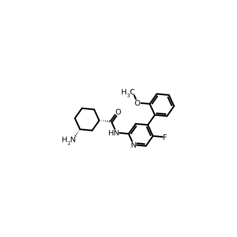 COc1ccccc1-c1cc(NC(=O)[C@H]2CCC[C@@H](N)C2)ncc1F